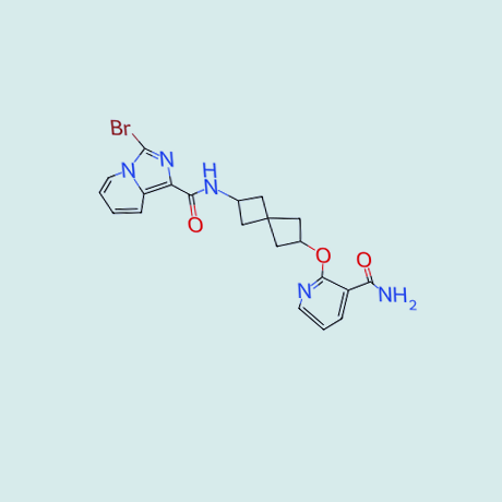 NC(=O)c1cccnc1OC1CC2(CC(NC(=O)c3nc(Br)n4ccccc34)C2)C1